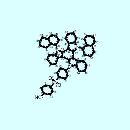 N#Cc1ccc(S(=O)(=O)c2ccc(-n3c4ccccc4c4c3c3c5ccccc5n(-c5cccc6ccccc56)c3c3c5ccccc5n(-c5cccc6ccccc56)c43)cc2)cc1